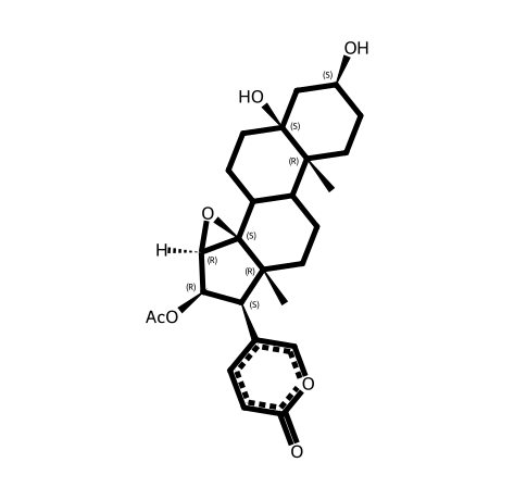 CC(=O)O[C@H]1[C@H]2O[C@]23C2CC[C@]4(O)C[C@@H](O)CC[C@]4(C)C2CC[C@]3(C)[C@H]1c1ccc(=O)oc1